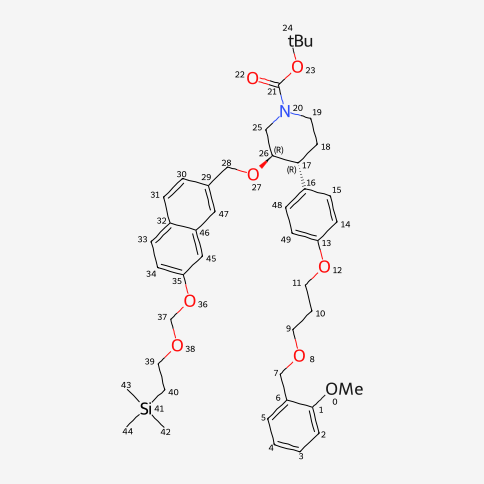 COc1ccccc1COCCCOc1ccc([C@H]2CCN(C(=O)OC(C)(C)C)C[C@@H]2OCc2ccc3ccc(OCOCC[Si](C)(C)C)cc3c2)cc1